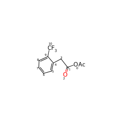 CC(=O)OC(=O)Cc1ccccc1C(F)(F)F